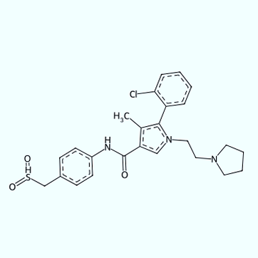 Cc1c(C(=O)Nc2ccc(C[SH](=O)=O)cc2)cn(CCN2CCCC2)c1-c1ccccc1Cl